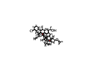 C[C@@H](O)c1nc2c(F)c(-c3cccc(Cl)c3Cl)c(CCC#N)cc2c2c1cc([C@H]1[C@H]3C[C@H](C[C@@H]3OC3CC3)N1C(=O)C1(F)CC1)n2[C@H]1[C@@H]2C[C@H]1N(C(=O)OC(C)(C)C)C2